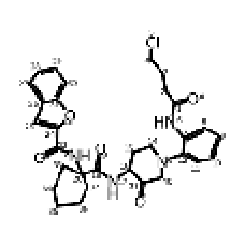 O=C(CCCCl)Nc1ccccc1N1CCC(NC(=O)C2(NC(=O)c3cc4ccccc4o3)CCCCC2)C(=O)C1